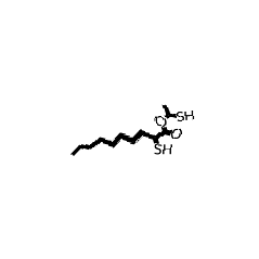 CCCCCCCCC(S)C(=O)OC(C)S